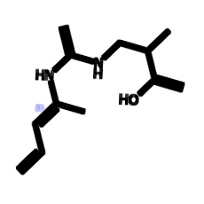 C=C/C=C(\C)NC(=C)NCC(C)C(=C)O